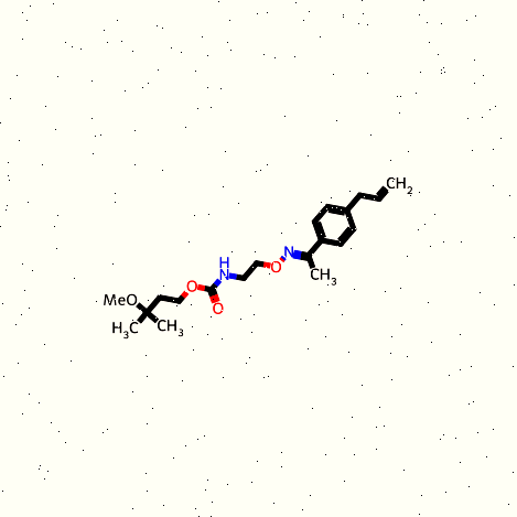 C=CCc1ccc(/C(C)=N/OCCNC(=O)OCCC(C)(C)OC)cc1